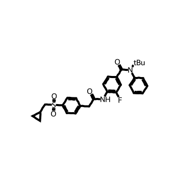 CC(C)(C)N(C(=O)c1ccc(NC(=O)Cc2ccc(S(=O)(=O)CC3CC3)cc2)c(F)c1)c1ccccc1